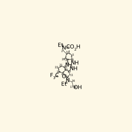 CCN(Cc1ccc2[nH]c(NC(CC(=O)N(CC)CCO)c3cccc(C(F)(F)F)c3)nc2c1)C(=O)O